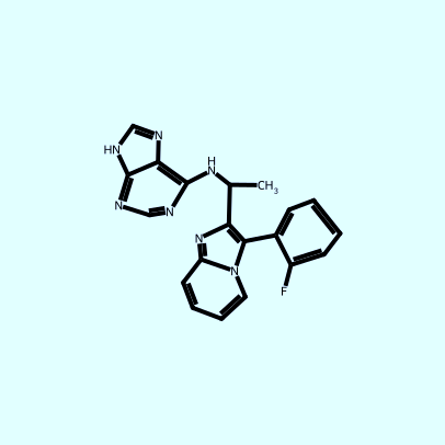 CC(Nc1ncnc2[nH]cnc12)c1nc2ccccn2c1-c1ccccc1F